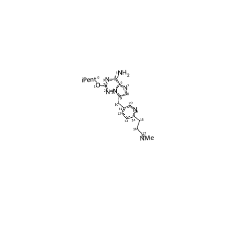 CCCC(C)Oc1nc(N)c2ncc(Cc3ccc(CCCNC)nc3)n2n1